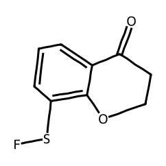 O=C1CCOc2c(SF)cccc21